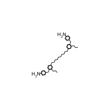 CCCc1cc(CCCCCCCCCCc2ccc(Cc3ccc(N)cc3)c(CCC)c2)ccc1Cc1ccc(N)cc1